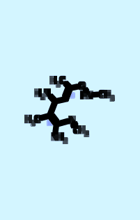 C=N/C(N)=C(/C)C(N)/C=C(\C)ONC